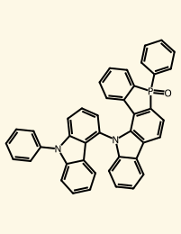 O=P1(c2ccccc2)c2ccccc2-c2c1ccc1c3ccccc3n(-c3cccc4c3c3ccccc3n4-c3ccccc3)c21